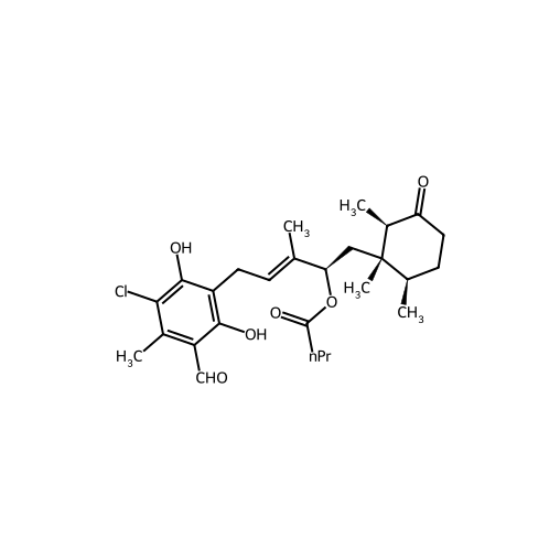 CCCC(=O)O[C@H](C[C@@]1(C)[C@H](C)CCC(=O)[C@@H]1C)/C(C)=C/Cc1c(O)c(Cl)c(C)c(C=O)c1O